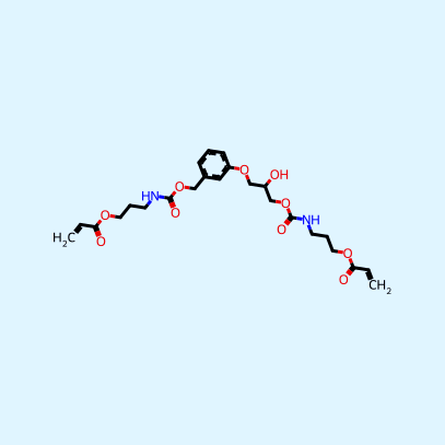 C=CC(=O)OCCCNC(=O)OCc1cccc(OCC(O)COC(=O)NCCCOC(=O)C=C)c1